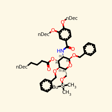 CCCCCCCCCCCCCC(=O)O[C@@H]1[C@H](NC(=O)c2ccc(OCCCCCCCCCC)c(OCCCCCCCCCC)c2)[C@@H](OCc2ccccc2)O[C@H](CO[Si](C)(C)C(C)(C)C)[C@H]1OCc1ccccc1